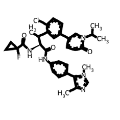 Cc1ncn(C)c1-c1ccc(NC(=O)[C@@H](NC(=O)C2(F)CC2)C(C)c2cc(-c3ccc(=O)n(C(C)C)c3)ccc2Cl)cc1